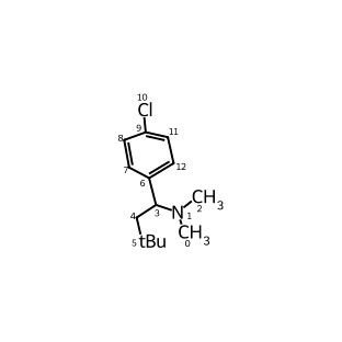 CN(C)C(CC(C)(C)C)c1ccc(Cl)cc1